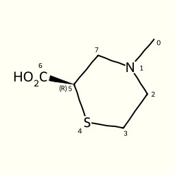 CN1CCS[C@@H](C(=O)O)C1